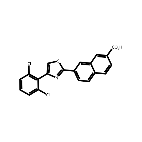 O=C(O)c1ccc2ccc(-c3nc(-c4c(Cl)cccc4Cl)cs3)cc2c1